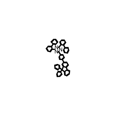 c1ccc(-c2ccccc2-c2nc(-c3ccc(-c4ccc5c(c4)C(c4ccccc4)(c4ccccc4)c4ccccc4-5)cc3)nc(-c3ccccc3-c3ccccc3)n2)cc1